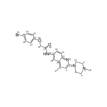 Cc1cc(N2CCN(C)CC2)nc2ccc(NC(=O)COc3ccc(Br)cc3)cc12